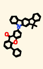 CC1(C)c2ccccc2-c2cc3c4ccccc4n(-c4ccc5oc6c(-c7ccccc7)cccc6c(=O)c5c4)c3cc21